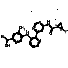 CCC(O)c1cc(C)c(Nc2cccnc2-c2cc(NC(=O)[C@H]3C[C@H]3F)ncn2)cn1